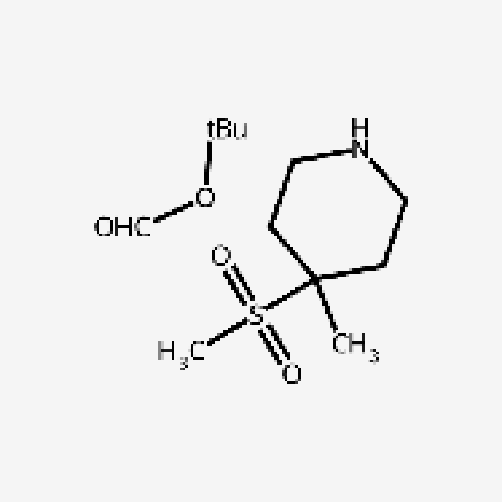 CC(C)(C)OC=O.CC1(S(C)(=O)=O)CCNCC1